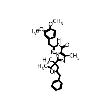 COc1ccc(Cc2nn3c(C(C)(CCCc4ccccc4)C(C)O)nc(C)c3c(=O)[nH]2)cc1OC